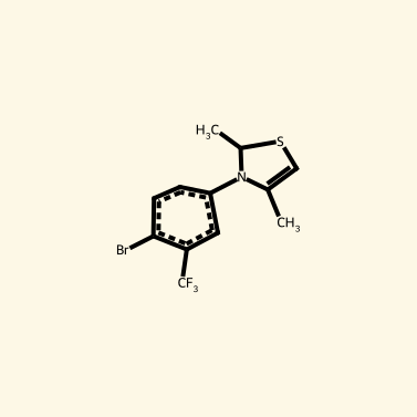 CC1=CSC(C)N1c1ccc(Br)c(C(F)(F)F)c1